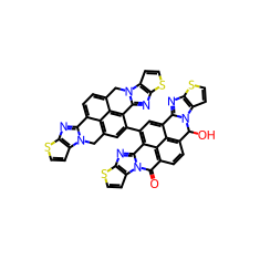 O=c1c2ccc3c4c(cc(-c5cc6c7c(ccc8c7c5-c5nc7sccc7n5C8)-c5nc7sccc7n5C6)c(c42)c2nc4sccc4n12)-c1nc2sccc2n1C3O